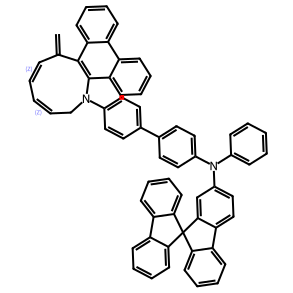 C=C1/C=C\C=C/CN(c2ccc(-c3ccc(N(c4ccccc4)c4ccc5c(c4)C4(c6ccccc6-c6ccccc64)c4ccccc4-5)cc3)cc2)c2c1c1ccccc1c1ccccc21